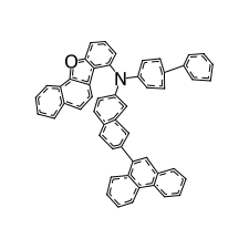 c1ccc(-c2ccc(N(c3ccc4ccc(-c5cc6ccccc6c6ccccc56)cc4c3)c3cccc4oc5c6ccccc6ccc5c34)cc2)cc1